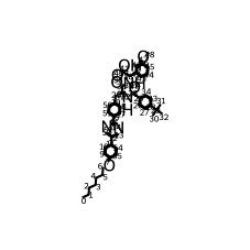 CCCCCCCOc1ccc(-c2cnc(-c3ccc(C[C@H](NC(=O)c4ccc(C(C)(C)C)cc4)C(=O)NC(C(=O)O)c4cccc(OC)c4)cc3)nc2)cc1